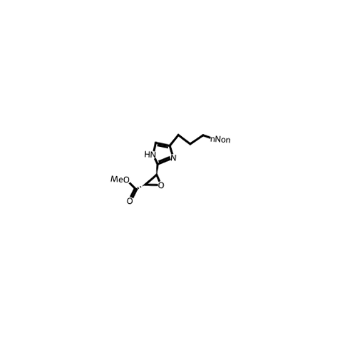 CCCCCCCCCCCCc1c[nH]c([C@H]2O[C@@H]2C(=O)OC)n1